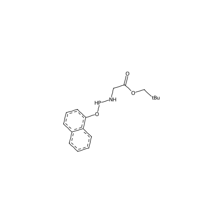 CC(C)(C)COC(=O)CNPOc1cccc2ccccc12